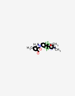 C/C=C(\C=C/C(C)C(C1=CCC=C(N(C)C(=O)C2=C(C=O)CC=C(C)C=C2)C=C1)(C(F)(F)F)C(F)(F)F)C(C)C